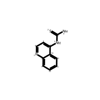 [NH]C(=S)Nc1ccnc2ccccc12